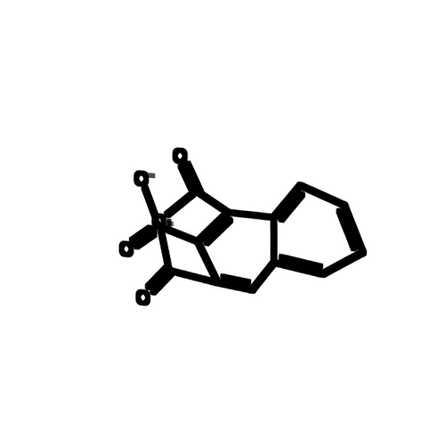 O=C1OC(=O)c2c([N+](=O)[O-])c1cc1ccccc21